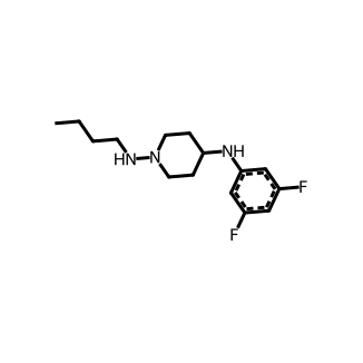 CCCCNN1CCC(Nc2cc(F)cc(F)c2)CC1